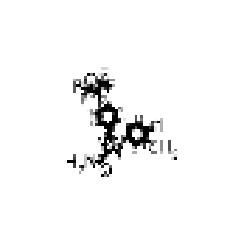 Cc1cc(-n2nc(C(N)=O)nc2-c2ccccc2)ccc1Cl.FC1C(F)(F)OC1(F)F